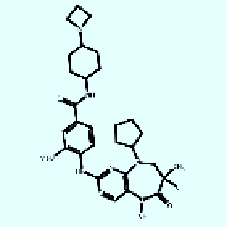 COc1cc(C(=O)NC2CCC(N3CCC3)CC2)ccc1Nc1ncc2c(n1)N(C1CCCC1)CC(C)(C)C(=O)N2C